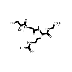 N=C(N)NCCC[C@H](NC(=O)CNC(=O)[C@@H](N)CO)C(=O)NCC(=O)O